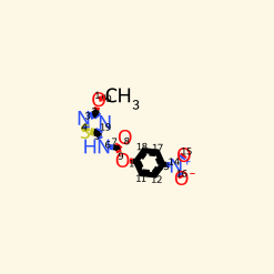 COc1nsc(NC(=O)Oc2ccc([N+](=O)[O-])cc2)n1